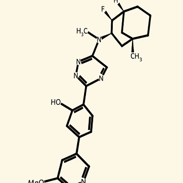 COc1cc(-c2ccc(-c3ncc(N(C)[C@@H]4C[C@@]5(C)CCC[C@H](C5)[C@@H]4F)nn3)c(O)c2)cnn1